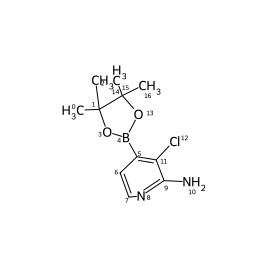 CC1(C)OB(c2ccnc(N)c2Cl)OC1(C)C